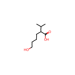 CC(C)C(CCCCO)C(=O)O